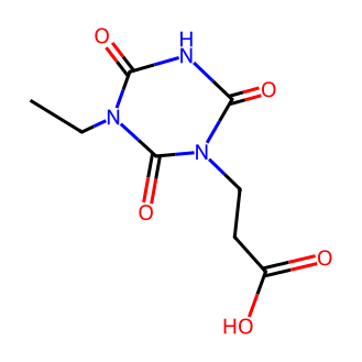 CCn1c(=O)[nH]c(=O)n(CCC(=O)O)c1=O